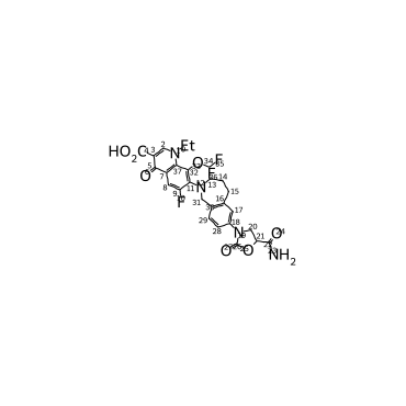 CCn1cc(C(=O)O)c(=O)c2cc(F)c(N3CCCc4cc(N5CC(C(N)=O)OC5=O)ccc4C3)c(OC(F)F)c21